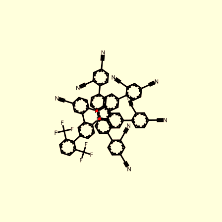 N#Cc1ccc(-c2ccc3c(c2)c2cc(-c4ccc(C#N)cc4C#N)ccc2n3-c2ccc(C#N)cc2-c2cc(-c3c(C(F)(F)F)cccc3C(F)(F)F)ccc2-n2c3ccc(-c4ccc(C#N)cc4C#N)cc3c3cc(-c4ccc(C#N)cc4C#N)ccc32)c(C#N)c1